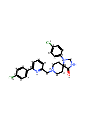 O=C1NCN(c2ccc(Cl)cc2)C12CCN(Cc1cccc(-c3ccc(Cl)cc3)n1)CC2